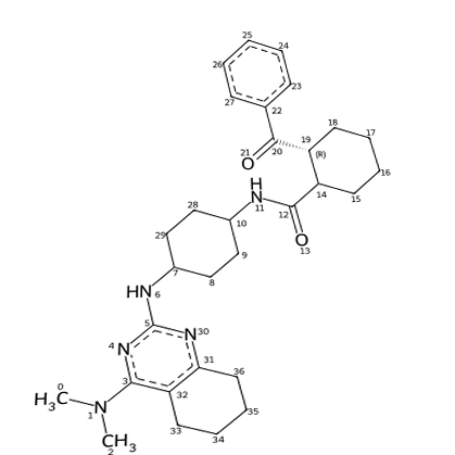 CN(C)c1nc(NC2CCC(NC(=O)C3CCCC[C@H]3C(=O)c3ccccc3)CC2)nc2c1CCCC2